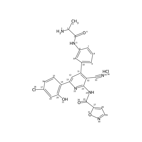 CC(N)C(=O)Nc1cccc(-c2cc(-c3ccc(Cl)cc3O)nc(NC(=O)c3ccno3)c2C#N)c1.Cl